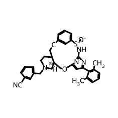 Cc1cccc(C)c1-c1cc2nc(n1)N[S+]([O-])c1cccc(c1)CCC1CCN(Cc3cccc(C#N)c3)C[C@@H]1CO2